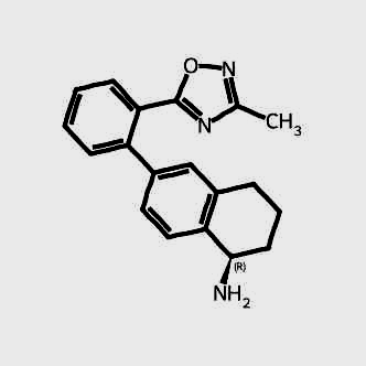 Cc1noc(-c2ccccc2-c2ccc3c(c2)CCC[C@H]3N)n1